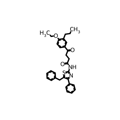 CCCc1cc(C(=O)CCC(=O)Nc2nc(-c3ccccc3)c(Cc3ccccc3)s2)ccc1OCC